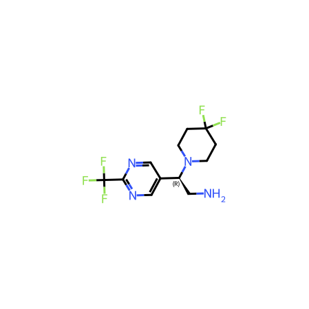 NC[C@@H](c1cnc(C(F)(F)F)nc1)N1CCC(F)(F)CC1